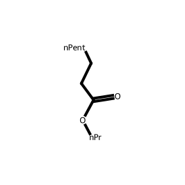 [CH2]CCOC(=O)CCCCCCC